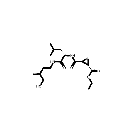 CCOC(=O)[C@H]1O[C@@H]1C(=O)N[C@@H](CC(C)C)C(=O)NCCC(C)CO